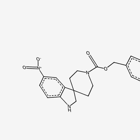 O=C(OCc1ccccc1)N1CCC2(CC1)CNc1ccc([N+](=O)[O-])cc12